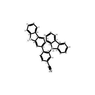 N#Cc1ccc(-c2ccc3c(c2)oc2ccccc23)c(-n2c3ccccc3c3ccccc32)c1